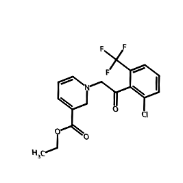 CCOC(=O)C1=CC=CN(CC(=O)c2c(Cl)cccc2C(F)(F)F)C1